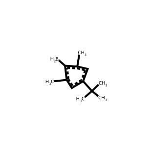 Bc1c(C)cc(C(C)(C)C)cc1C